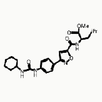 COC(=O)C(CC(C)C)NC(=O)c1cc(-c2ccc(NC(=O)NC3CCCCC3)cc2)no1